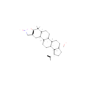 C=C(C)[C@@H]1CC[C@]2(CO)CC[C@]3(C)[C@H](CC[C@@H]4[C@@]5(C)CC6=C(ON(O)C6)C(C)(C)[C@@H]5CC[C@]43C)[C@@H]12